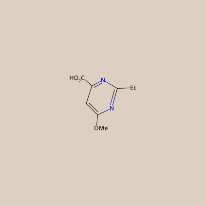 CCc1nc(OC)cc(C(=O)O)n1